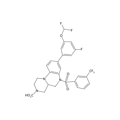 O=C(O)N1CCN2c3ccc(-c4cc(F)cc(OC(F)F)c4)cc3N(S(=O)(=O)c3cccc(C(F)(F)F)c3)CC2C1